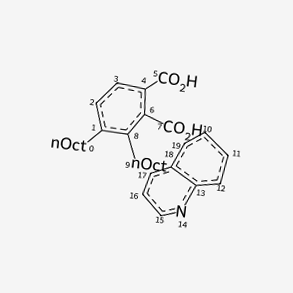 CCCCCCCCc1ccc(C(=O)O)c(C(=O)O)c1CCCCCCCC.c1ccc2ncccc2c1